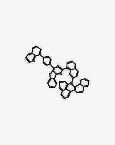 c1cc(-c2nc(-c3ccc(-c4cccc5cccnc45)cc3)c3sc4ccccc4c3n2)c2cc(N3c4c(ccc5ccccc45)-c4cccc5cccc3c45)ccc2c1